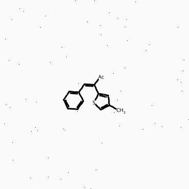 CC(=O)C(=Cc1ccccc1)c1cc(C)cs1